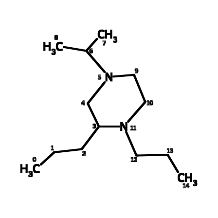 CCCC1CN(C(C)C)CCN1CCC